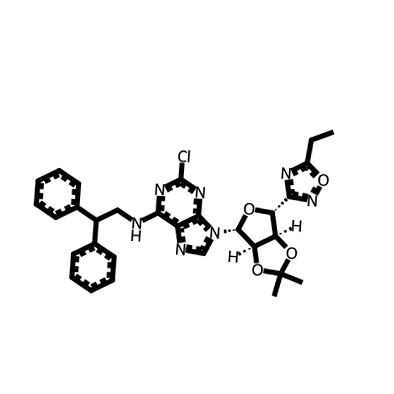 CCc1nc([C@H]2O[C@@H](n3cnc4c(NCC(c5ccccc5)c5ccccc5)nc(Cl)nc43)[C@@H]3OC(C)(C)O[C@@H]32)no1